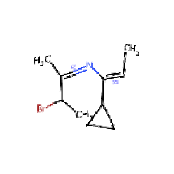 C/C=C(\N=C(\C)C(C)Br)C1CC1